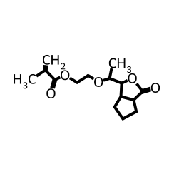 C=C(C)C(=O)OCCOC(C)C1OC(=O)C2CCCC21